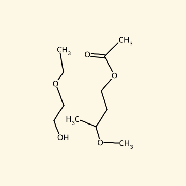 CCOCCO.COC(C)CCOC(C)=O